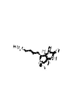 N.O=C(O)CCCC[C@@H]1SC[C@@H]2NC(=O)N[C@@H]21